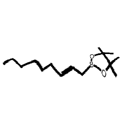 CCCCCC/C=C/CB1OC(C)(C)C(C)(C)O1